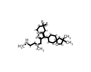 CNCCN(C)Cc1nn2c(c1C1CCC3(CC1)CC(C)(C)CO3)CC(F)(F)CC2